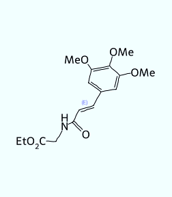 CCOC(=O)CNC(=O)/C=C/c1cc(OC)c(OC)c(OC)c1